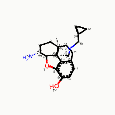 C[C@@]12CC[C@@H](N)C3Oc4c(O)ccc5c4[C@@]31CCN(CC1CC1)C2C5